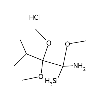 COC(N)([SiH3])C(OC)(OC)C(C)C.Cl